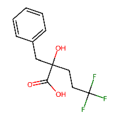 O=C(O)C(O)(CCC(F)(F)F)Cc1ccccc1